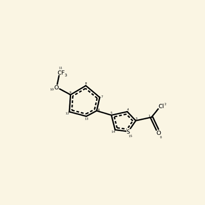 O=C(Cl)c1cc(-c2ccc(OC(F)(F)F)cc2)cs1